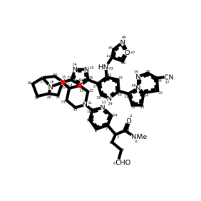 CNC(=O)C(CCC=O)c1ccc(N2CCC(CN3C4CCC3CN(c3nnc(-c5cnc(-c6ccc7cc(C#N)cnn67)cc5Nc5cnoc5)s3)C4)CC2)nc1